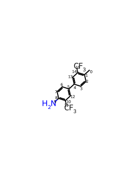 Cc1ccc(-c2ccc(N)c(C(F)(F)F)c2)cc1C(F)(F)F